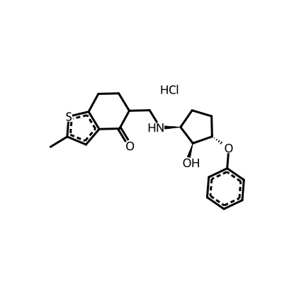 Cc1cc2c(s1)CCC(CN[C@H]1CC[C@H](Oc3ccccc3)[C@H]1O)C2=O.Cl